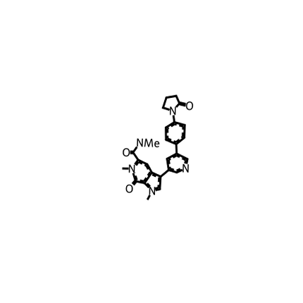 CNC(=O)c1cc2c(-c3cncc(-c4ccc(N5CCCC5=O)cc4)c3)cn(C)c2c(=O)n1C